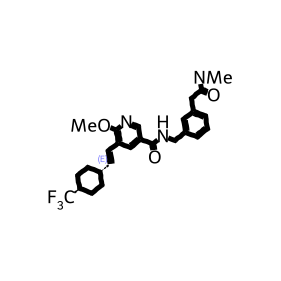 CNC(=O)Cc1cccc(CNC(=O)c2cnc(OC)c(/C=C/[C@H]3CC[C@@H](C(F)(F)F)CC3)c2)c1